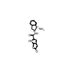 N[C@H]1c2ccccc2C[C@H]1NC(=O)c1cc2cc(Cl)sc2[nH]1